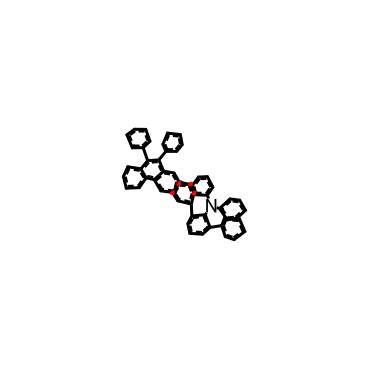 c1ccc(-c2cccc(-c3ccccc3)c2N(c2ccccc2)c2cccc(-c3ccc4c(c3)c(-c3ccccc3)c(-c3ccccc3)c3ccccc34)c2)cc1